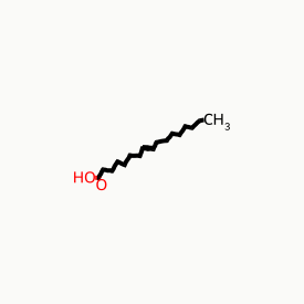 CCCCCCCC/C=C/CCCCCCC(=O)O